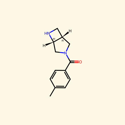 Cc1ccc(C(=O)N2C[C@H]3CN[C@H]3C2)cc1